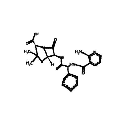 CC1(C)S[C@@H]2[C@H](NC(=O)C(NC(=O)c3cccnc3N)c3ccccc3)C(=O)N2[C@H]1C(=O)O